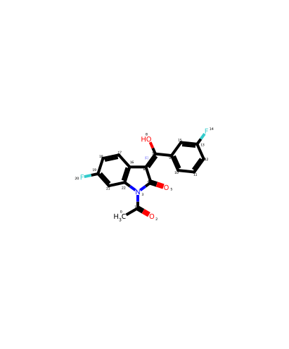 CC(=O)N1C(=O)/C(=C(/O)c2cccc(F)c2)c2ccc(F)cc21